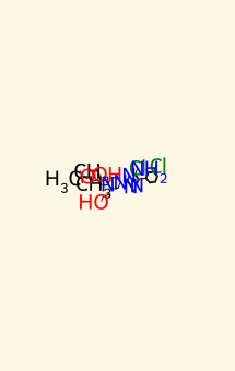 CC(C)(C)OCC(O)CN1CCN(c2nnc(-c3cccc(Cl)c3Cl)c(N)n2)C[C@@H]1CCO